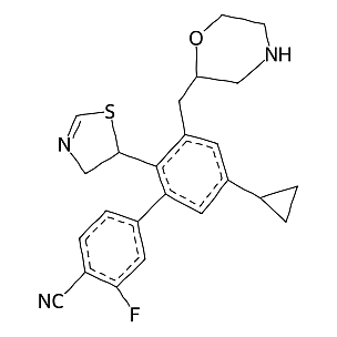 N#Cc1ccc(-c2cc(C3CC3)cc(CC3CNCCO3)c2C2CN=CS2)cc1F